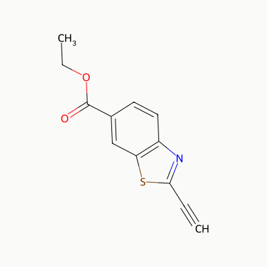 C#Cc1nc2ccc(C(=O)OCC)cc2s1